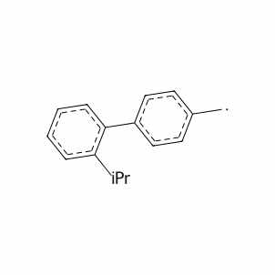 [CH2]c1ccc(-c2ccccc2C(C)C)cc1